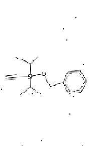 C#C[Si](OCc1ccccc1)(C(C)C)C(C)C